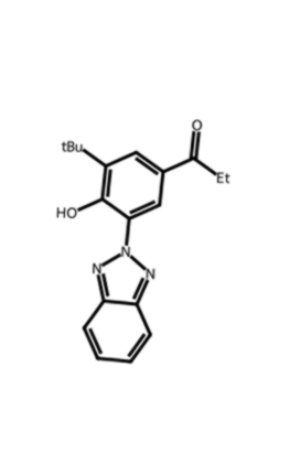 CCC(=O)c1cc(-n2nc3ccccc3n2)c(O)c(C(C)(C)C)c1